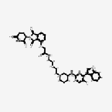 O=C(COc1cccc2c1C(=O)N(C1CCC(=O)NC1=O)C2=O)NCCOCCN1CCCC(Nc2ncc(Cl)c(-c3c[nH]c4ccccc34)n2)C1